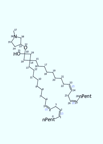 CCCCC/C=C\C/C=C\CCCCCCCCC1(CCCCCCCC/C=C\C/C=C\CCCCC)CC(O)(OC2CCN(C)C2)C1